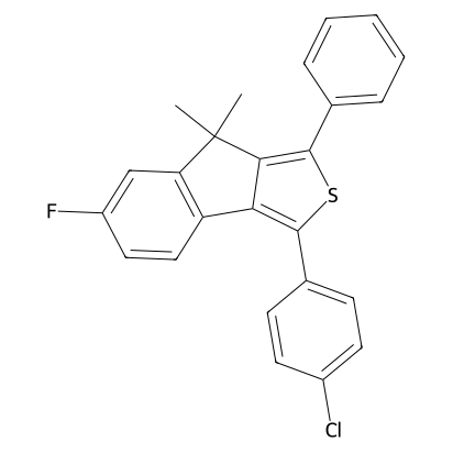 CC1(C)c2cc(F)ccc2-c2c(-c3ccc(Cl)cc3)sc(-c3ccccc3)c21